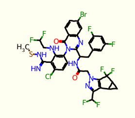 CSNC(=N)c1c(Cl)ccc(-n2c(C(Cc3cc(F)cc(F)c3)NC(=O)Cn3nc(C(F)F)c4c3C(F)(F)C3CC43)nc3cc(Br)ccc3c2=O)c1NCC(F)F